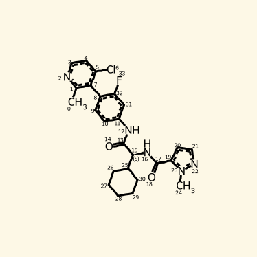 Cc1nccc(Cl)c1-c1ccc(NC(=O)[C@@H](NC(=O)c2ccnn2C)C2CCCCC2)cc1F